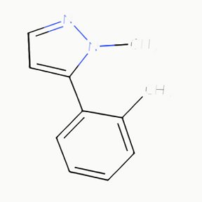 Cc1ccccc1-c1ccnn1C